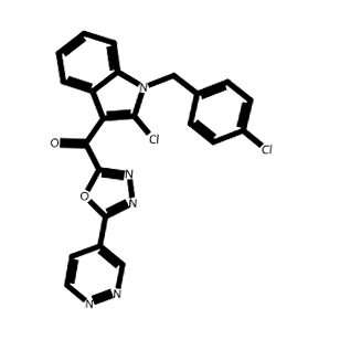 O=C(c1nnc(-c2ccnnc2)o1)c1c(Cl)n(Cc2ccc(Cl)cc2)c2ccccc12